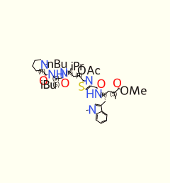 CCCCN1CCCC[C@@H]1C(=O)N[C@H](C(=O)N(C)[C@H](C[C@@H](OC(C)=O)c1nc(C(=O)N[C@@H](Cc2cn(C)c3ccccc23)C[C@H](C)C(=O)OC)cs1)C(C)C)[C@@H](C)CC